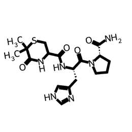 CC1(C)SCC(C(=O)N[C@@H](Cc2c[nH]cn2)C(=O)N2CCC[C@H]2C(N)=O)NC1=O